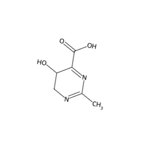 CC1=NCC(O)C(C(=O)O)=N1